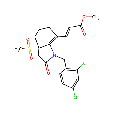 COC(=O)C=CC1=C2N(Cc3ccc(Cl)cc3Cl)C(=O)CC2(S(C)(=O)=O)CCC1